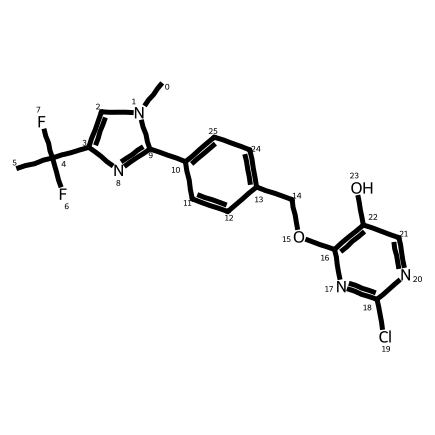 Cn1cc(C(C)(F)F)nc1-c1ccc(COc2nc(Cl)ncc2O)cc1